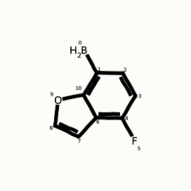 Bc1ccc(F)c2ccoc12